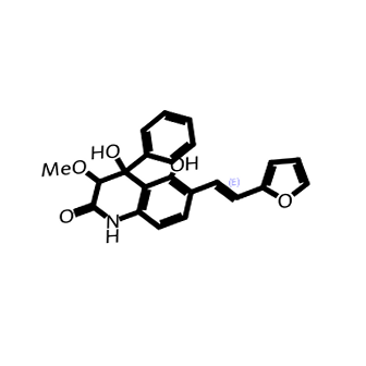 COC1C(=O)Nc2ccc(/C=C/c3ccco3)c(O)c2C1(O)c1ccccc1